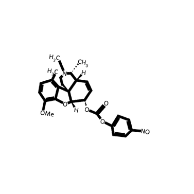 COc1ccc(C)c2c1O[C@H]1[C@@H](OC(=O)Oc3ccc(N=O)cc3)C=C[C@H]3[C@@H](C)N(C)CC[C@@]231